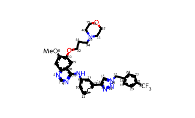 COc1cc2ncnc(Nc3cccc(-c4cn(Cc5ccc(C(F)(F)F)cc5)nn4)c3)c2cc1OCCCN1CCOCC1